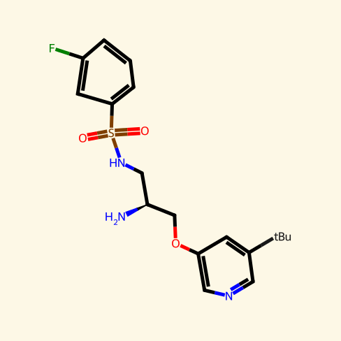 CC(C)(C)c1cncc(OC[C@@H](N)CNS(=O)(=O)c2cccc(F)c2)c1